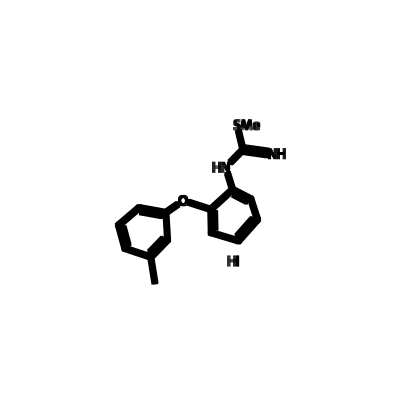 CSC(=N)Nc1ccccc1Oc1cccc(C)c1.I